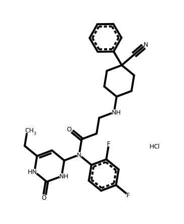 CCC1=CC(N(C(=O)CCNC2CCC(C#N)(c3ccccc3)CC2)c2ccc(F)cc2F)NC(=O)N1.Cl